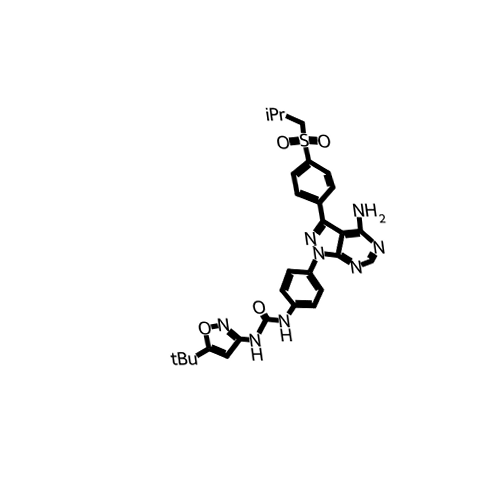 CC(C)CS(=O)(=O)c1ccc(-c2nn(-c3ccc(NC(=O)Nc4cc(C(C)(C)C)on4)cc3)c3ncnc(N)c23)cc1